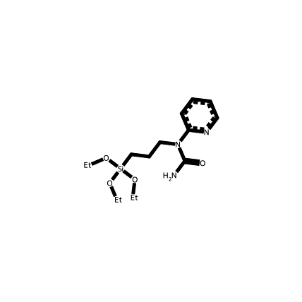 CCO[Si](CCCN(C(N)=O)c1ccccn1)(OCC)OCC